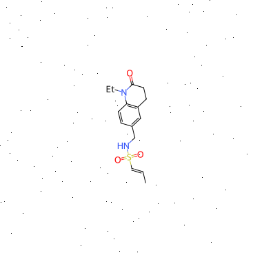 CC=CS(=O)(=O)NCc1ccc2c(c1)CCC(=O)N2CC